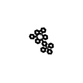 c1ccc(N2c3ccccc3N(c3ccc([Si](c4ccccc4)(c4ccccc4)c4ccccc4)cc3)c3ccccc3-n3c4ccccc4c4cccc2c43)cc1